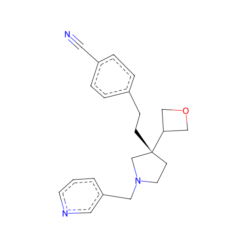 N#Cc1ccc(CC[C@@]2(C3COC3)CCN(Cc3cccnc3)C2)cc1